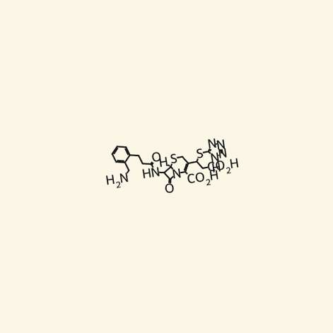 NCc1ccccc1CCC(=O)NC1C(=O)N2C(C(=O)O)=C(C(CC(=O)O)Sc3nnn[nH]3)CS[C@@H]12